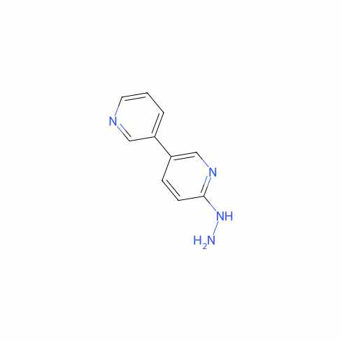 NNc1ccc(-c2cccnc2)cn1